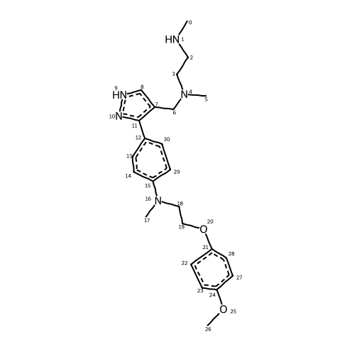 CNCCN(C)Cc1c[nH]nc1-c1ccc(N(C)CCOc2ccc(OC)cc2)cc1